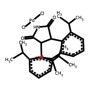 CC(C)c1cccc(C(C)C)c1C1C(=O)NC(=O)C1c1c(C(C)C)cccc1C(C)C.[Cl][Pd][Cl]